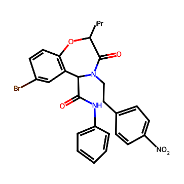 CC(C)C1Oc2ccc(Br)cc2C(C(=O)Nc2ccccc2)N(CCc2ccc([N+](=O)[O-])cc2)C1=O